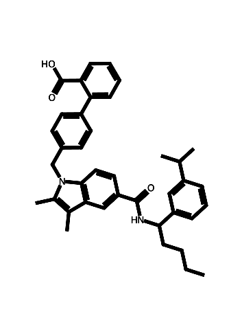 CCCCC(NC(=O)c1ccc2c(c1)c(C)c(C)n2Cc1ccc(-c2ccccc2C(=O)O)cc1)c1cccc(C(C)C)c1